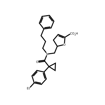 CCc1ccc(C2(C(=O)N(CCCc3ccccc3)CC3CC=C(C(=O)O)O3)CC2)cc1